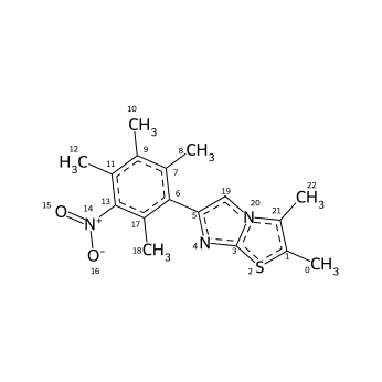 Cc1sc2nc(-c3c(C)c(C)c(C)c([N+](=O)[O-])c3C)cn2c1C